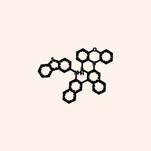 B1c2cccc3c2N(c2ccccc2O3)c2cc3ccccc3c(-c3cc4ccccc4cc3Nc3ccc4sc5ccccc5c4c3)c21